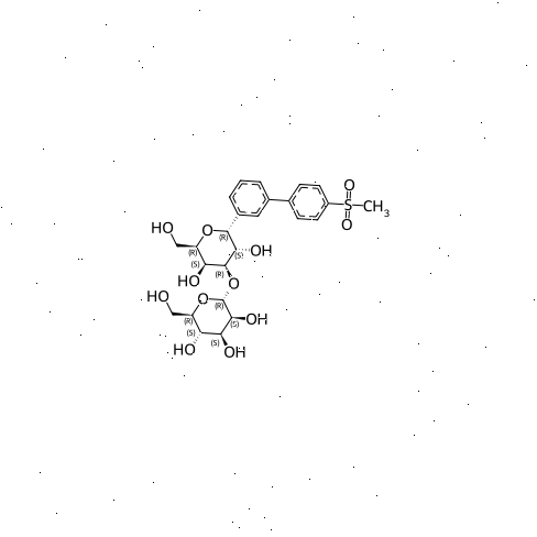 CS(=O)(=O)c1ccc(-c2cccc([C@H]3O[C@H](CO)[C@H](O)[C@H](O[C@H]4O[C@H](CO)[C@@H](O)[C@H](O)[C@@H]4O)[C@H]3O)c2)cc1